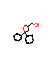 OCC1COC(c2ccccc2)(c2ccccc2)C1